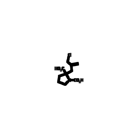 C=C(CCl)CC1(C(=O)O)CCCN1C(=O)O